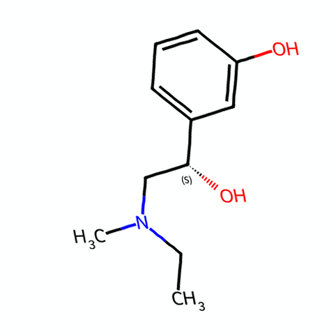 CCN(C)C[C@@H](O)c1cccc(O)c1